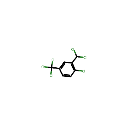 Clc1ccc(C(Cl)(Cl)Cl)cc1C(Cl)Cl